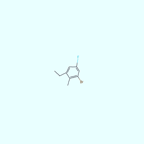 CCc1cc(F)cc(Br)c1C